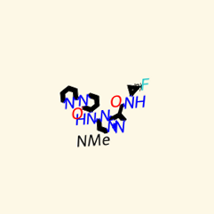 CNc1cc(Nc2cccn(-c3ccccn3)c2=O)nc2c(C(=O)NC3C[C@H]3F)cnn12